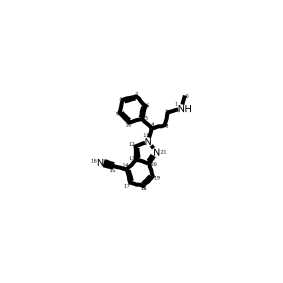 CNCCC(c1ccccc1)n1cc2c(C#N)cccc2n1